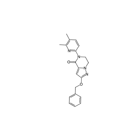 Cc1ccc(N2CCn3nc(OCc4ccccc4)cc3C2=O)nc1C